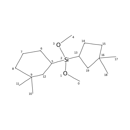 CO[Si](OC)(C1CCCC(C)(C)C1)C1CCC(C)(C)C1